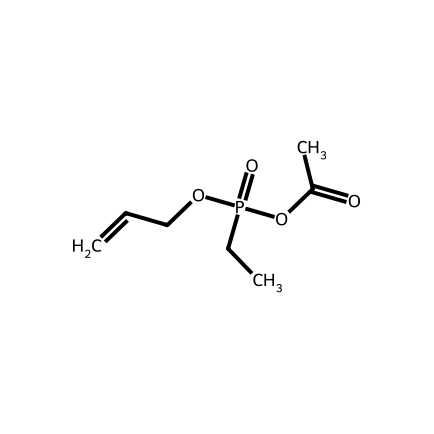 C=CCOP(=O)(CC)OC(C)=O